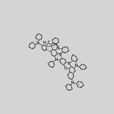 CC1(C)c2cc(N(c3ccccc3)c3ccccc3)ccc2-c2cc3c4c(c21)N(c1ccccc1)c1ccccc1B4c1cc2c(cc1N3c1ccccc1)Oc1c3c(cc4cc(N(c5ccccc5)c5ccccc5)ccc14)N(c1ccccc1)c1ccccc1B23